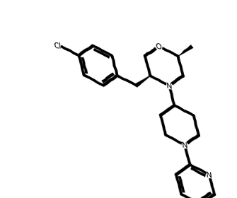 C[C@H]1CN(C2CCN(c3ccncn3)CC2)[C@@H](Cc2ccc(Cl)cc2)CO1